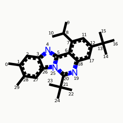 Cc1cc2nc3c4c(C(C)C)cc(C(C)(C)C)cc4nc(C(C)(C)C)n3c2cc1C